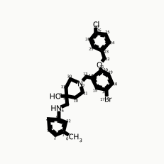 Cc1cccc(NCC2(O)CCN(Cc3cc(Br)ccc3OCc3ccc(Cl)cc3)CC2)c1